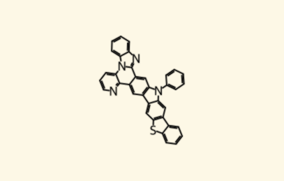 c1ccc(-n2c3cc4c(cc3c3cc5c(cc32)c2nc3ccccc3n2c2cccnc52)sc2ccccc24)cc1